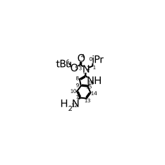 CC(C)CN(C(=O)OC(C)(C)C)c1cc2cc(N)ccc2[nH]1